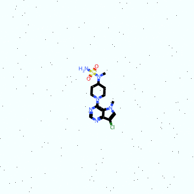 CN(C1CCN(c2ncnc3c(Cl)cn(C)c23)CC1)S(N)(=O)=O